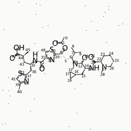 CC(=O)O[C@H](C[C@H](C(C)C)N(C)C(=O)[C@H](CC1CC1)NC(=O)[C@H]1CCCCN1C)c1nc(C(=O)N[C@@H](Cc2nc(C)cs2)C[C@H](C)C(=O)O)cs1